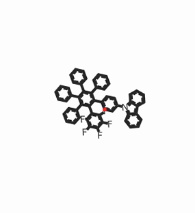 Fc1c(F)c(F)c(-c2c(-c3ccccc3)c(-c3ccccc3)c(-c3ccccc3)c(-c3ccccc3)c2-c2ccc(-n3c4ccccc4c4ccccc43)cc2)c(F)c1F